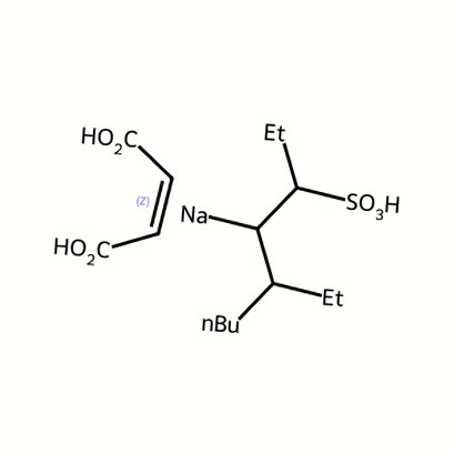 CCCCC(CC)[CH]([Na])C(CC)S(=O)(=O)O.O=C(O)/C=C\C(=O)O